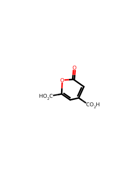 O=C(O)c1cc(C(=O)O)oc(=O)c1